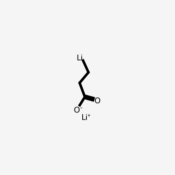 [Li+].[Li][CH2]CC(=O)[O-]